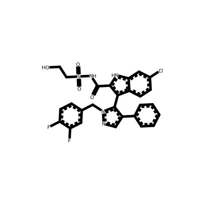 O=C(NS(=O)(=O)CCO)c1[nH]c2cc(Cl)ccc2c1-c1c(-c2ccccc2)cnn1Cc1ccc(F)c(F)c1